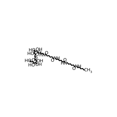 CCCCCCNC(=O)CCCCCNC(=O)CCCCCNC(=O)CCCCC(=O)NCCO[C@H]1OC(CO[C@H]2OC(CO)[C@@H](O)C(O)C2O)[C@@H](O)C(O)C1O